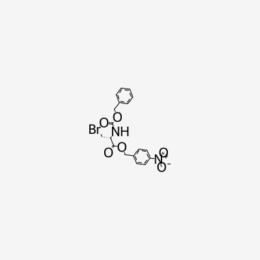 O=C(N[C@@H](CBr)C(=O)OCc1ccc([N+](=O)[O-])cc1)OCc1ccccc1